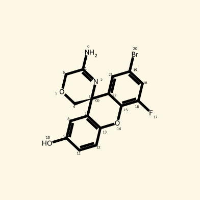 NC1=N[C@@]2(COC1)c1cc(O)ccc1Oc1c(F)cc(Br)cc12